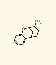 NC1CCC2CC1Oc1ccccc12